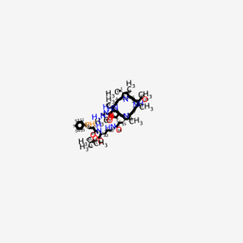 CC[C@H]1c2cc3[nH]c(c(CC(=O)OC)c4nc(cc5[nH]c(cc(n2)[C@@H]1C)c(C(C)=O)c5C)[C@@H](C)[C@@H]4CCC(=O)NCCC[C@H](NC(=O)CCPc1ccccc1)C(=O)OC(C)(C)C)c(C(=O)NN)c3C